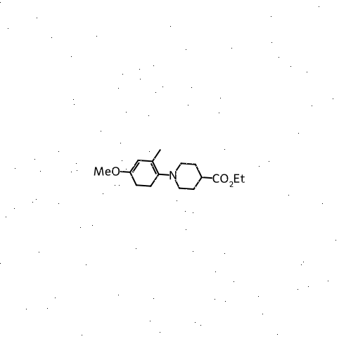 CCOC(=O)C1CCN(C2=C(C)C=C(OC)CC2)CC1